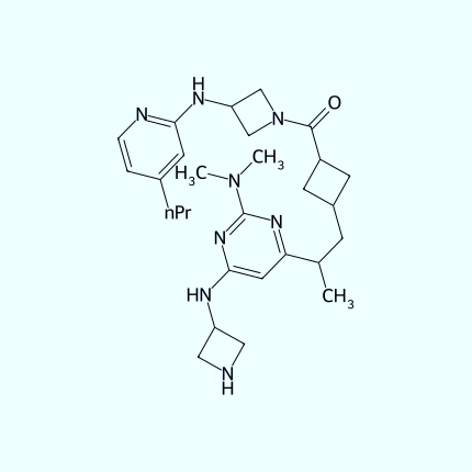 CCCc1ccnc(NC2CN(C(=O)C3CC(CC(C)c4cc(NC5CNC5)nc(N(C)C)n4)C3)C2)c1